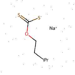 CC(C)CCOC(=S)[S-].[Na+]